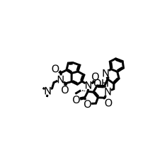 CC[C@@]1(N(C(=O)O)c2cc3c4c(cccc4c2)C(=O)N(CCN(C)C)C3=O)C(=O)OCc2c1cc1n(c2=O)Cc2cc3ccccc3nc2-1